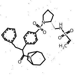 C=CS(=O)(=O)NC[C@H]1CCCN1S(=O)(=O)c1ccc(C(Cc2ccccc2)C(=O)N2C3CCCC2CC3)cc1